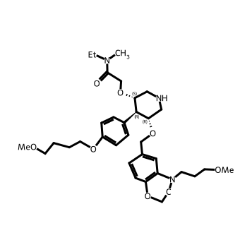 CCN(C)C(=O)CO[C@@H]1CNC[C@H](OCc2ccc3c(c2)N(CCCOC)CCO3)[C@H]1c1ccc(OCCCCOC)cc1